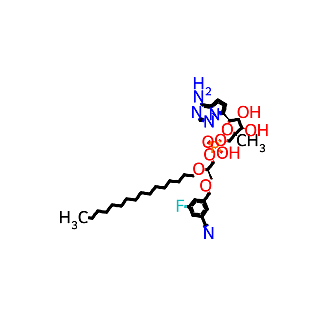 CCCCCCCCCCCCCCCCO[C@H](COCc1cc(F)cc(C#N)c1)COP(=O)(O)OC[C@@]1(C)O[C@@H](c2ccc3c(N)ncnn23)[C@H](O)[C@@H]1O